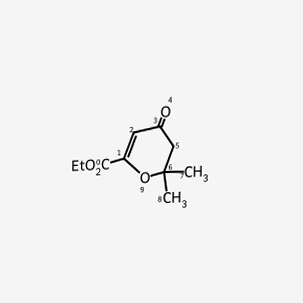 CCOC(=O)C1=CC(=O)CC(C)(C)O1